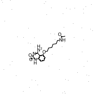 CC(=O)NCCCCCCOc1cccc2c1C(N)=NS(=O)(=O)N2